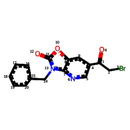 O=C(CBr)c1cnc2c(c1)oc(=O)n2Cc1ccccc1